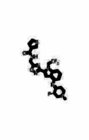 CN1CC/C(=N\c2cccc3c2cc(-c2noc(CNC(=O)c4ccsc4)n2)n3CC(F)(F)F)[C@@H](F)C1